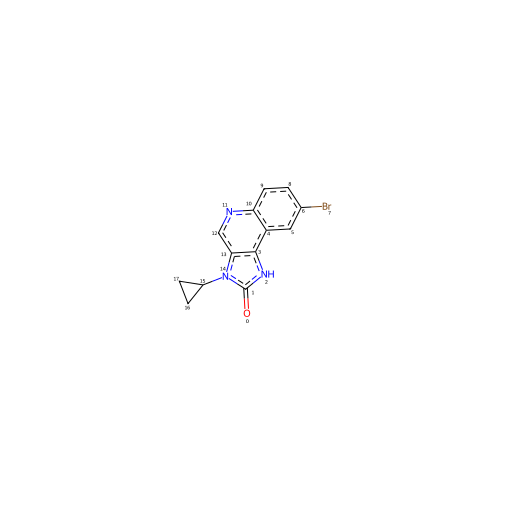 O=c1[nH]c2c3cc(Br)ccc3ncc2n1C1CC1